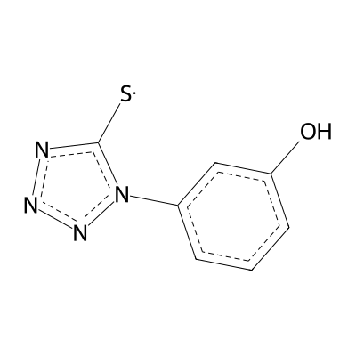 Oc1cccc(-n2nnnc2[S])c1